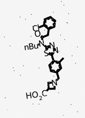 CCCCN(C(=O)Cc1ccccc1Cl)c1nnc(-c2ccc(CN3CC(C(=O)O)C3)cc2C)s1